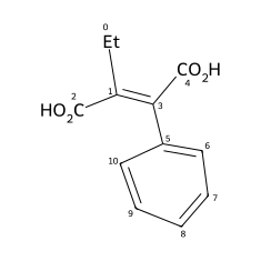 CCC(C(=O)O)=C(C(=O)O)c1ccccc1